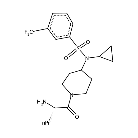 CCC[C@H](N)C(=O)N1CCC(N(C2CC2)S(=O)(=O)c2cccc(C(F)(F)F)c2)CC1